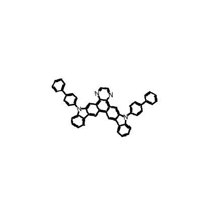 c1ccc(-c2ccc(-n3c4ccccc4c4cc5c6cc7c8ccccc8n(-c8ccc(-c9ccccc9)cc8)c7cc6c6nccnc6c5cc43)cc2)cc1